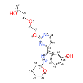 C[C@H](O)CCOCCOc1nccc(-c2nn(C3CCCCO3)c3ccc(O)cc23)n1